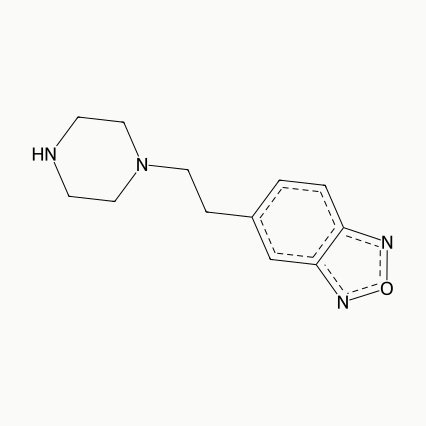 c1cc2nonc2cc1CCN1CCNCC1